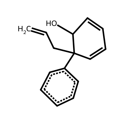 C=CCC1(c2ccccc2)C=CC=CC1O